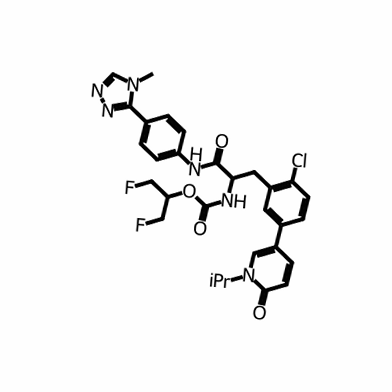 CC(C)n1cc(-c2ccc(Cl)c(CC(NC(=O)OC(CF)CF)C(=O)Nc3ccc(-c4nncn4C)cc3)c2)ccc1=O